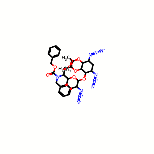 CC(=O)OC1C(N=[N+]=[N-])CC(N=[N+]=[N-])C(OC2OC(C(C)N(Cc3ccccc3)C(=O)OCc3ccccc3)CCC2N=[N+]=[N-])C1OC(C)=O